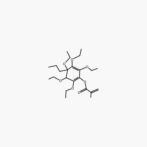 C=C(C)C(=O)OC1=C(OCC)C(OCC)C(CCC)(OCC)C(OCC)=C1OCC